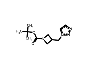 CC(C)(C)OC(=O)N1CC(Cn2ccnn2)C1